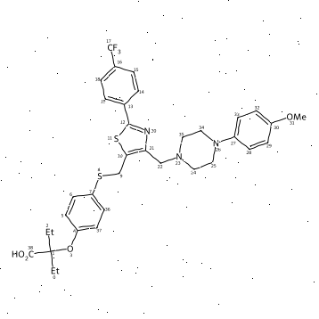 CCC(CC)(Oc1ccc(SCc2sc(-c3ccc(C(F)(F)F)cc3)nc2CN2CCN(c3ccc(OC)cc3)CC2)cc1)C(=O)O